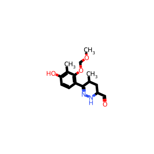 COCOc1c(C2=NNC(C=O)CC2C)ccc(O)c1C